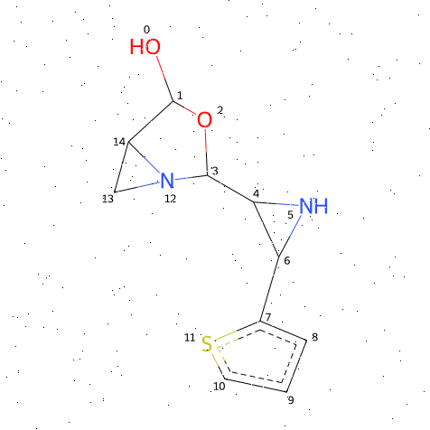 OC1OC(C2NC2c2cccs2)N2CC12